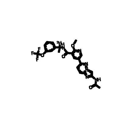 [2H]C(C)(NC(=O)c1cc(-c2ccc3nc(NC(C)=O)cn3n2)cnc1OC)c1cccc(OC(F)(F)F)c1